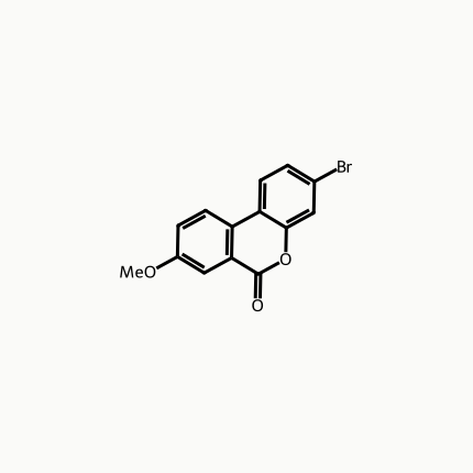 COc1ccc2c(c1)c(=O)oc1cc(Br)ccc12